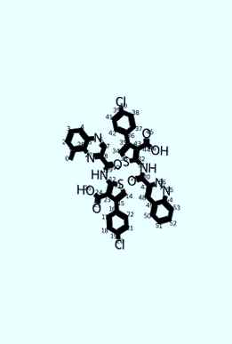 Cc1cccc2ncc(C(=O)Nc3scc(-c4ccc(Cl)cc4)c3C(=O)O)nc12.O=C(Nc1scc(-c2ccc(Cl)cc2)c1C(=O)O)c1cc2ccccc2nn1